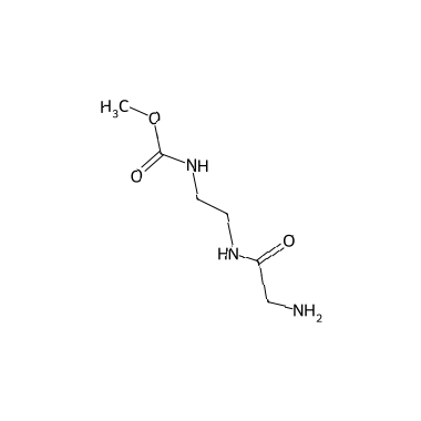 COC(=O)NCCNC(=O)CN